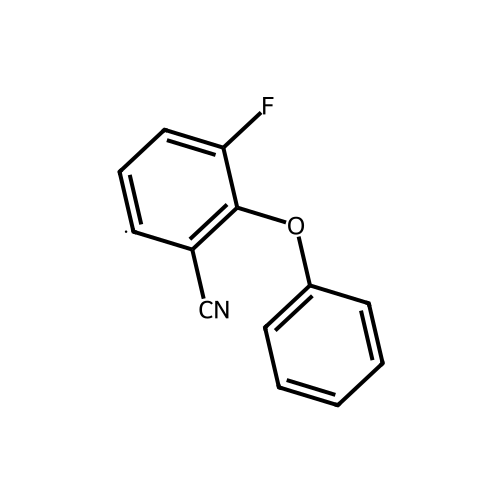 N#Cc1[c]ccc(F)c1Oc1ccccc1